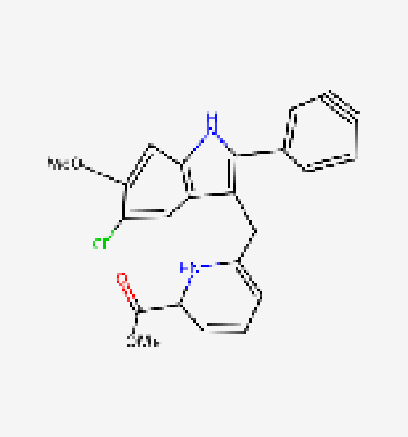 COC(=O)C1C=CC=C(Cc2c(-c3cc#ccc3)[nH]c3cc(OC)c(Cl)cc23)N1